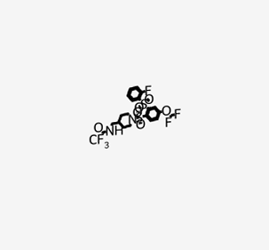 O=C(NCC1CCN(S(=O)(=O)c2ccc(OC(F)F)cc2S(=O)(=O)c2ccccc2F)CC1)C(F)(F)F